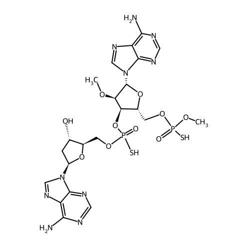 CO[C@@H]1[C@H](OP(=O)(S)OC[C@H]2O[C@@H](n3cnc4c(N)ncnc43)C[C@@H]2O)[C@@H](COP(=O)(S)OC)O[C@H]1n1cnc2c(N)ncnc21